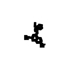 CC[Si](CC)(CC)OCc1cc(Br)cc2cc(Br)ccc12